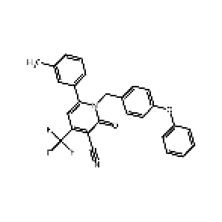 Cc1cccc(-c2cc(C(F)(F)F)c(C#N)c(=O)n2Cc2ccc(Oc3ccccc3)cc2)c1